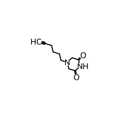 C#CCCCCN1CC(=O)NC(=O)C1